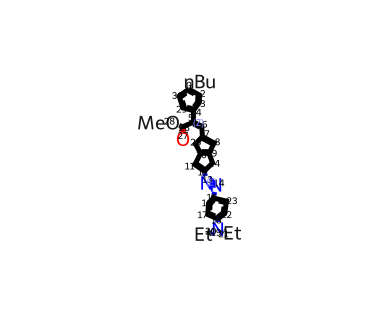 CCCCc1ccc(/C(=C/C2=CC3=C(C=C(/N=N/c4ccc(N(CC)CC)cc4)C3)C2)C(=O)OC)cc1